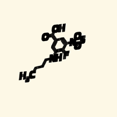 CCCCNc1cc(C(=O)O)cc(N2OSO2)c1F